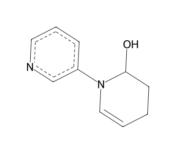 OC1CCC=CN1c1cccnc1